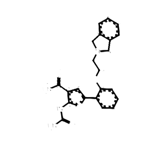 NC(=O)Nc1sc(-c2ccccc2OCCN2Cc3ccccc3C2)cc1C(N)=O